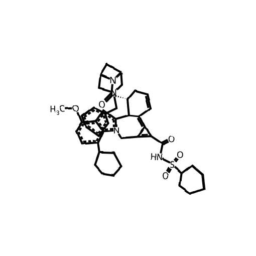 COc1ccc(C2CCCCC2)c2c1cc1n2CC2=C(C(=O)NS(=O)(=O)C3CCCCC3)C2=C2C=CC[C@@H](C(=O)N3C4CC3CN(Cc3ccccc3)C4)C21